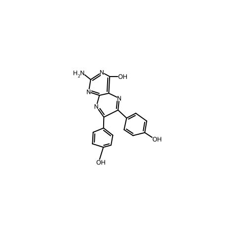 Nc1nc(O)c2nc(-c3ccc(O)cc3)c(-c3ccc(O)cc3)nc2n1